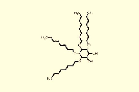 CCCCCCCCO[C@@H]1[C@@H](OCCCCCCCC)[C@H](OCCCCCCCC)[C@@H](O)[C@@H](O)[C@H]1OCCCCCCCC